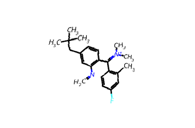 C=Nc1cc(CC(C)(C)C)ccc1C(c1ccc(F)cc1C)=[N+](C)C